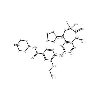 CCOc1cc(C(=O)NC2CCNCC2)ccc1Nc1ncc2c(n1)N(C1CCCC1)CC(F)(F)C(=O)N2C